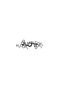 CC(C)(C)N(C=O)Cc1ccc(CN(C=O)C(C)(C)C)nn1